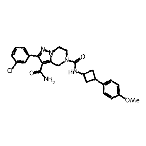 COc1ccc(C2CC(NC(=O)N3CCn4nc(-c5cccc(Cl)c5)c(C(N)=O)c4C3)C2)cc1